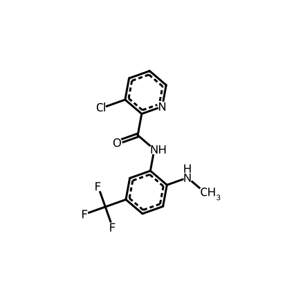 CNc1ccc(C(F)(F)F)cc1NC(=O)c1ncccc1Cl